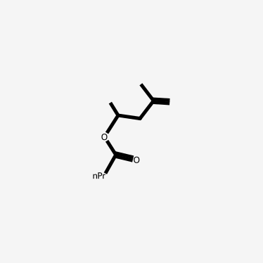 C=C(C)CC(C)OC(=O)CCC